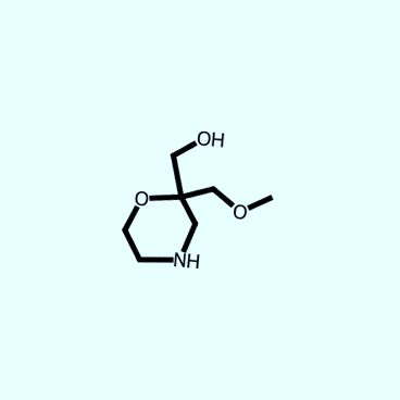 COCC1(CO)CNCCO1